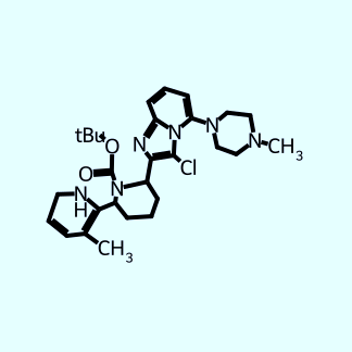 CC1=C(C2CCCC(c3nc4cccc(N5CCN(C)CC5)n4c3Cl)N2C(=O)OC(C)(C)C)NCC=C1